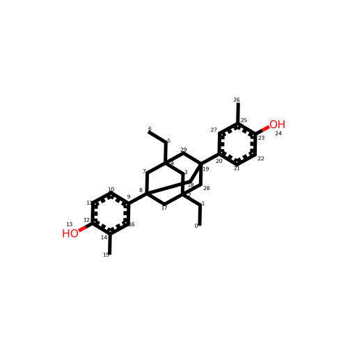 CCC12CC3(CC)CC(c4ccc(O)c(C)c4)(C1)CC(c1ccc(O)c(C)c1)(C2)C3